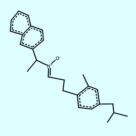 Cc1cc(CC(C)C)ccc1CCC=[N+]([O-])C(C)c1ccc2ccccc2c1